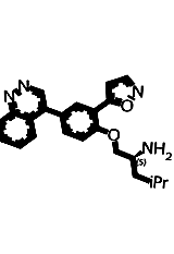 CC(C)C[C@H](N)COc1ccc(-c2cnnc3ccccc23)cc1-c1ccno1